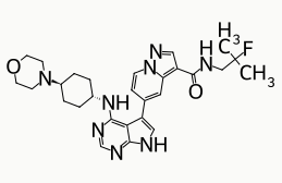 CC(C)(F)CNC(=O)c1cnn2ccc(-c3c[nH]c4ncnc(N[C@H]5CC[C@H](N6CCOCC6)CC5)c34)cc12